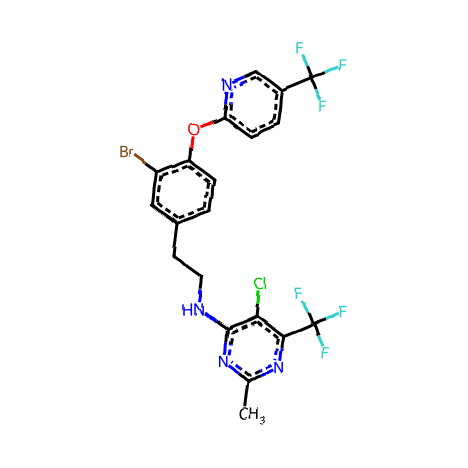 Cc1nc(NCCc2ccc(Oc3ccc(C(F)(F)F)cn3)c(Br)c2)c(Cl)c(C(F)(F)F)n1